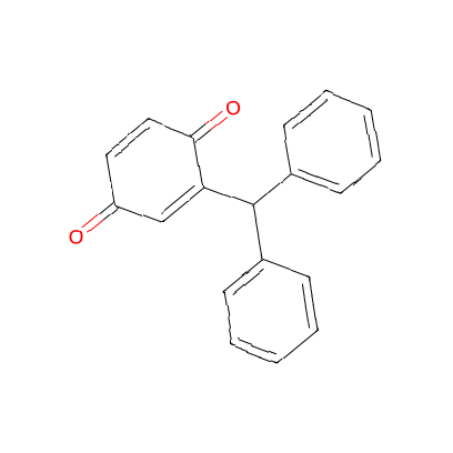 O=C1C=CC(=O)C(C(c2ccccc2)c2ccccc2)=C1